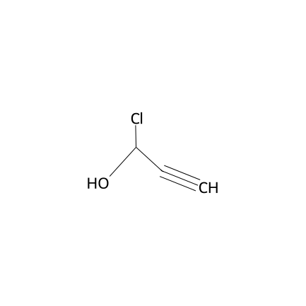 C#CC(O)Cl